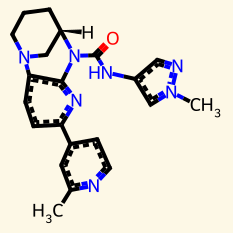 Cc1cc(-c2ccc3c(n2)N(C(=O)Nc2cnn(C)c2)[C@H]2CCCN3C2)ccn1